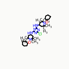 CC1(C)CC(Nc2nc(Cl)nc(NC3CC(C)(C)N(OC4CCCCC4)C(C)(C)C3)n2)CC(C)(C)N1OC1CCCCC1